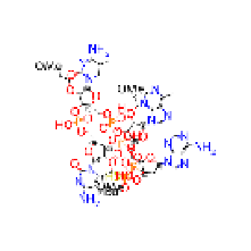 CCCCOP(=O)(S)O[C@@H]1C[C@H](n2cnc3c(N)ncnc32)O[C@@H]1COP(=O)(O)O[C@@H]1C(OCCOC)[C@H](n2cc(C)c(N)nc2=O)O[C@@H]1COP(=O)(O)OC1C(OCCOC)[C@H](n2cc(C)c(N)nc2=O)O[C@@H]1COP(=O)(O)OC1C(OCCOC)[C@H](n2cnc3c(C)ncnc32)O[C@@H]1COP(C)(=O)O